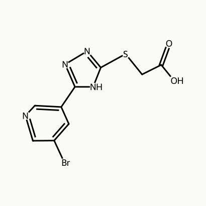 O=C(O)CSc1nnc(-c2cncc(Br)c2)[nH]1